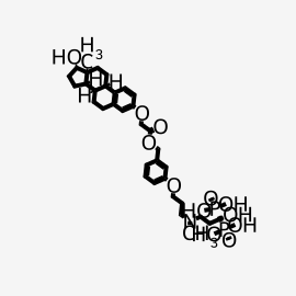 CN(CCCOc1cccc(COC(=O)COc2ccc3c(c2)CC[C@@H]2[C@@H]3CC[C@]3(C)[C@@H](O)CC[C@@H]23)c1)CCC(O)(P(=O)(O)O)P(=O)(O)O